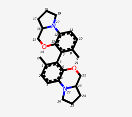 Cc1ccc2c(c1-c1c(C)ccc3c1OCC1CCCN31)OCC1CCCN21